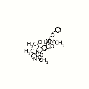 C=C(C)C1CN(c2c(C)ccnc2OC)C(=O)c2cc(F)c(-n3nc(COCc4ccccc4)n(CC)c3=O)cc21